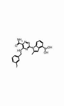 Cc1cc2c(B(O)O)cccc2n1-c1nnc(C(N)=O)c(NCc2cccc(F)c2)n1